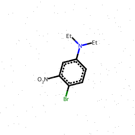 CCN(CC)c1ccc(Br)c([N+](=O)[O-])c1